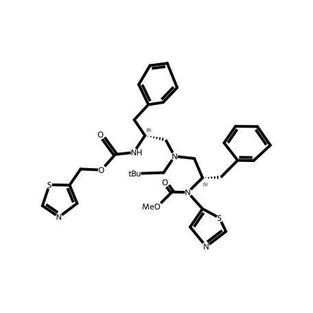 COC(=O)N(c1cncs1)[C@@H](Cc1ccccc1)CN(C[C@@H](Cc1ccccc1)NC(=O)OCc1cncs1)CC(C)(C)C